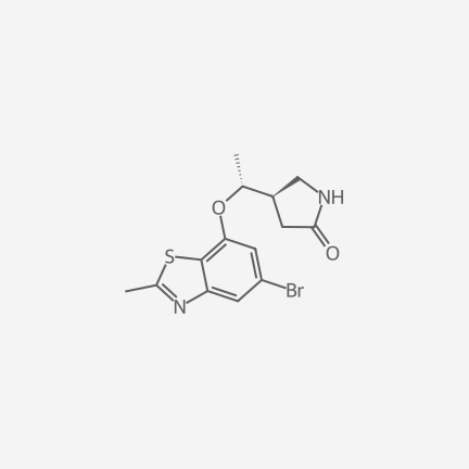 Cc1nc2cc(Br)cc(O[C@H](C)[C@H]3CNC(=O)C3)c2s1